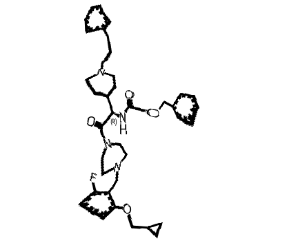 O=C(N[C@@H](C(=O)N1CCN(Cc2c(F)cccc2OCC2CC2)CC1)C1CCN(CCc2ccccc2)CC1)OCc1ccccc1